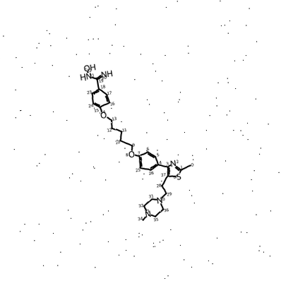 Cc1nc(-c2ccc(OCCCCCOc3ccc(C(=N)NO)cc3)cc2)c(CCN2CCN(C)CC2)s1